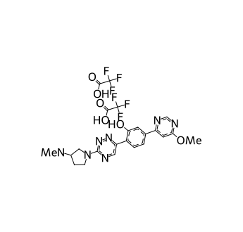 CNC1CCN(c2ncc(-c3ccc(-c4cc(OC)ncn4)cc3O)nn2)C1.O=C(O)C(F)(F)F.O=C(O)C(F)(F)F